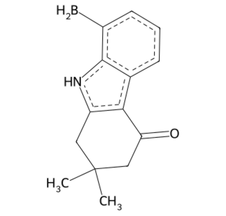 Bc1cccc2c3c([nH]c12)CC(C)(C)CC3=O